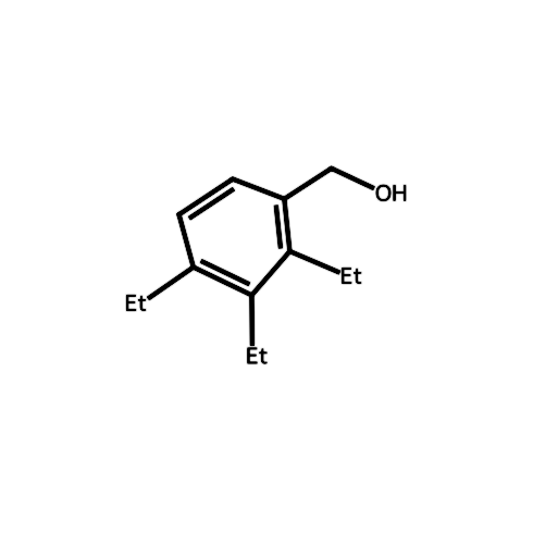 CCc1ccc(CO)c(CC)c1CC